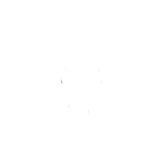 CC(C)(C)OC(=O)C(C[C@H](NC(=O)OCc1ccccc1)C(=O)O)C(=O)OC(C)(C)C